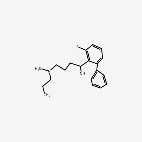 CCCN(C)CCCC(O)c1c(F)cccc1-c1ccccc1